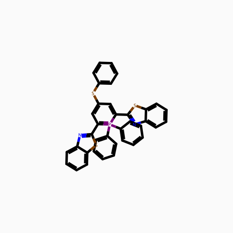 C1=C(Sc2ccccc2)C=C(c2nc3ccccc3s2)P(c2ccccc2)(c2ccccc2)=C1c1nc2ccccc2s1